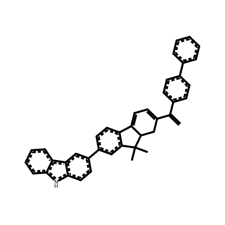 C=C(C1=CC=C2c3ccc(-c4ccc5[nH]c6ccccc6c5c4)cc3C(C)(C)C2C1)c1ccc(-c2ccccc2)cc1